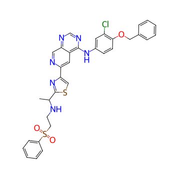 CC(NCCS(=O)(=O)c1ccccc1)c1nc(-c2cc3c(Nc4ccc(OCc5ccccc5)c(Cl)c4)ncnc3cn2)cs1